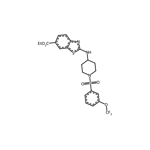 CCOC(=O)c1ccc2nc(NC3CCN(S(=O)(=O)c4cccc(OC(F)(F)F)c4)CC3)sc2c1